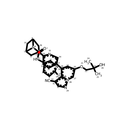 COc1ccc(NC(=O)N2C3CC2CN(c2ccc(-c4cc(OCC(C)(C)O)cn5ncc(C#N)c45)cn2)C3)cn1